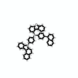 c1ccc2c(-c3ccc(N(c4ccc(-n5c6ccccc6c6c7ccccc7ccc65)cc4)c4cccc5oc6ccccc6c45)cc3)cccc2c1